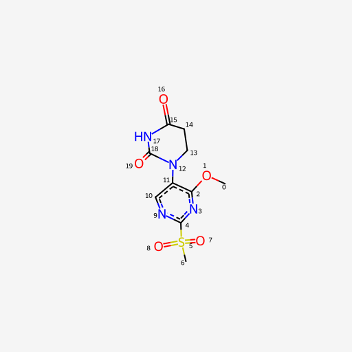 COc1nc(S(C)(=O)=O)ncc1N1CCC(=O)NC1=O